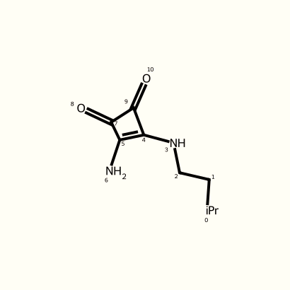 CC(C)CCNc1c(N)c(=O)c1=O